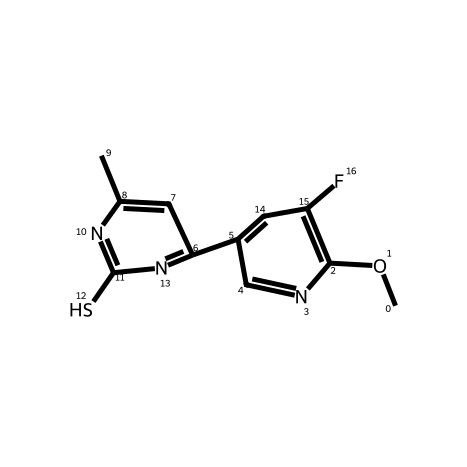 COc1ncc(-c2cc(C)nc(S)n2)cc1F